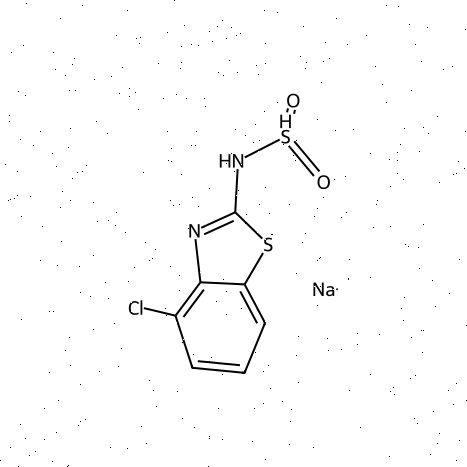 O=[SH](=O)Nc1nc2c(Cl)cccc2s1.[Na]